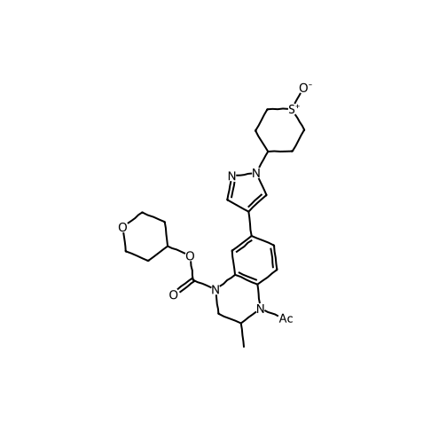 CC(=O)N1c2ccc(-c3cnn(C4CC[S+]([O-])CC4)c3)cc2N(C(=O)OC2CCOCC2)CC1C